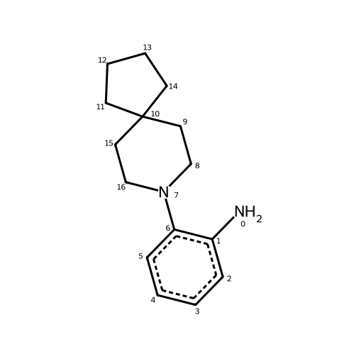 Nc1ccccc1N1CCC2(CCCC2)CC1